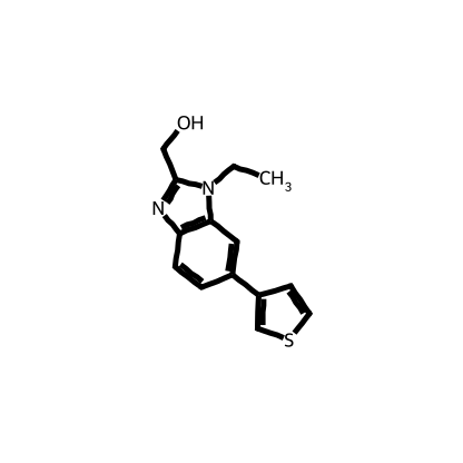 CCn1c(CO)nc2ccc(-c3ccsc3)cc21